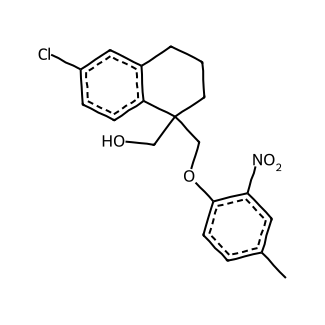 Cc1ccc(OCC2(CO)CCCc3cc(Cl)ccc32)c([N+](=O)[O-])c1